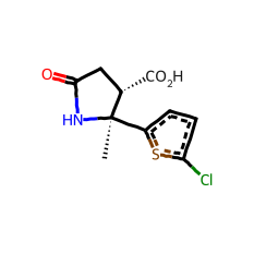 C[C@]1(c2ccc(Cl)s2)NC(=O)C[C@@H]1C(=O)O